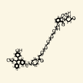 O=C1CCC(N2C(=O)c3cccc(NCCOCCOCCOCCOCCOCCC(=O)N4CCN(CCOc5ccc(C(=C(CCCl)c6ccccc6)c6ccc(O)cc6)cc5)CC4)c3C2=O)C(=O)N1